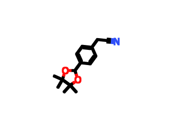 CC1(C)OC(c2ccc(CC#N)cc2)OC1(C)C